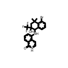 CC1(C)CC(O)(C(F)(F)F)C(Nc2cccc3c(=O)[nH]ccc23)c2cccc(Br)c21